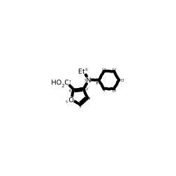 CCN(c1ccoc1C(=O)O)C1CCCCC1